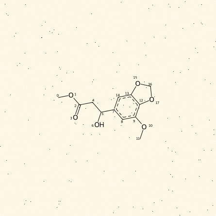 COC(=O)CC(O)c1cc(OC)c2c(c1)OCO2